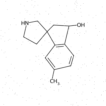 Cc1ccc2c(c1)C1(CCNC1)CC2O